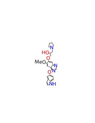 COc1cc2c(Oc3ccc4[nH]ccc4c3)ncnc2cc1OC[C@@H](O)CN1CCCC1